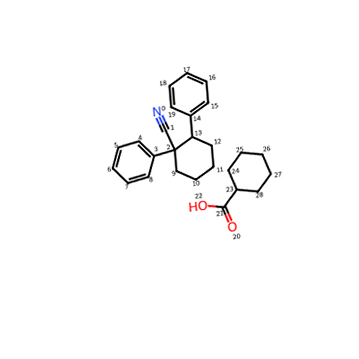 N#CC1(c2ccccc2)CCCCC1c1ccccc1.O=C(O)C1CCCCC1